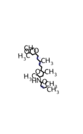 COC1(C)CCOC(/C=C/C(C)=C/CC2OC(C)C(NC(=O)/C=C\C(C)C)CC2C)C1